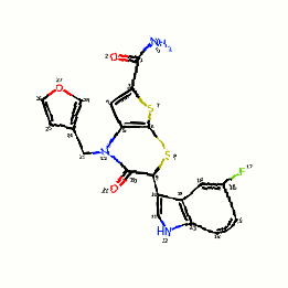 NC(=O)c1cc2c(s1)SC(c1c[nH]c3ccc(F)cc13)C(=O)N2Cc1ccoc1